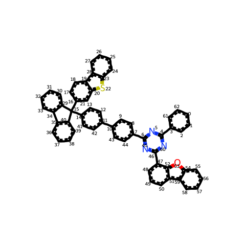 c1ccc(-c2nc(-c3ccc(-c4ccc(C5(c6ccc7c(c6)sc6ccccc67)c6ccccc6-c6ccccc65)cc4)cc3)nc(-c3cccc4c3oc3ccccc34)n2)cc1